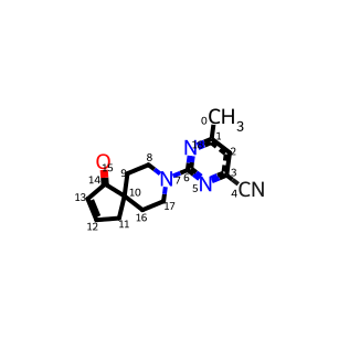 Cc1cc(C#N)nc(N2CCC3(CC=CC3=O)CC2)n1